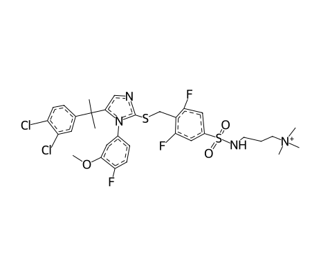 COc1cc(-n2c(C(C)(C)c3ccc(Cl)c(Cl)c3)cnc2SCc2c(F)cc(S(=O)(=O)NCCC[N+](C)(C)C)cc2F)ccc1F